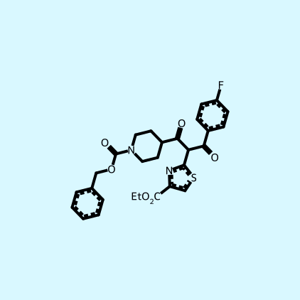 CCOC(=O)c1csc(C(C(=O)c2ccc(F)cc2)C(=O)C2CCN(C(=O)OCc3ccccc3)CC2)n1